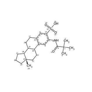 CC(C)(C)C(=O)Nc1cc2c(cc1S(=O)(=O)O)CCC1C2CC[C@]2(C)CCCC12